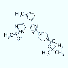 Cc1cccc(-c2nc(N3CCN(C(=O)OC(C)(C)C)CC3)sc2-c2ccnc([S+](C)[O-])n2)c1